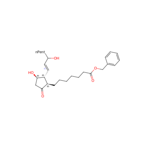 CCCCCC(O)/C=C/[C@H]1[C@H](O)CC(=O)[C@@H]1CCCCCCC(=O)OCc1ccccc1